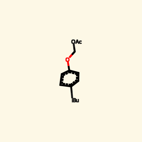 CCC(C)c1ccc(OCOC(C)=O)cc1